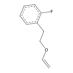 C=COCCc1ccccc1F